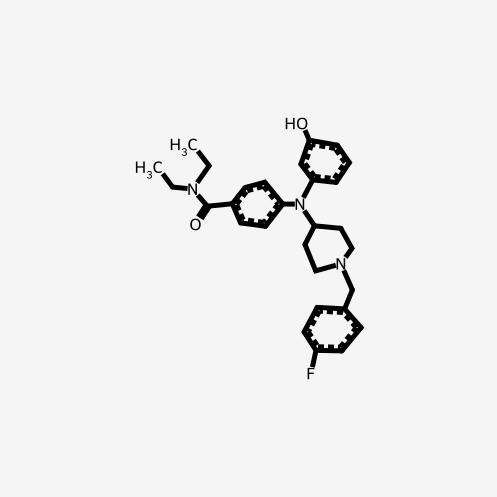 CCN(CC)C(=O)c1ccc(N(c2cccc(O)c2)C2CCN(Cc3ccc(F)cc3)CC2)cc1